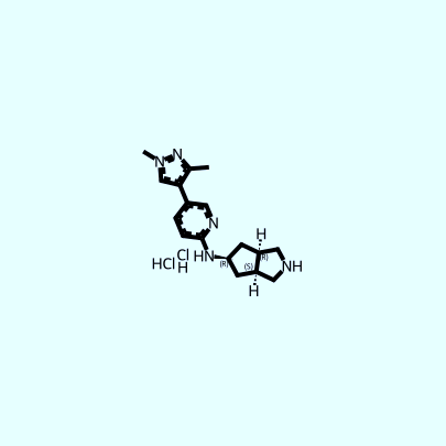 Cc1nn(C)cc1-c1ccc(N[C@H]2C[C@H]3CNC[C@H]3C2)nc1.Cl.Cl